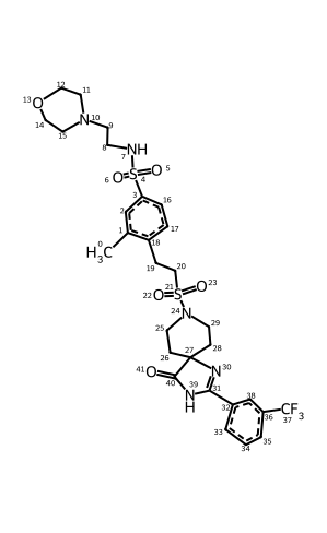 Cc1cc(S(=O)(=O)NCCN2CCOCC2)ccc1CCS(=O)(=O)N1CCC2(CC1)N=C(c1cccc(C(F)(F)F)c1)NC2=O